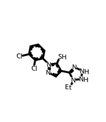 CCN1NNN=C1c1cnn(-c2cccc(Cl)c2Cl)c1S